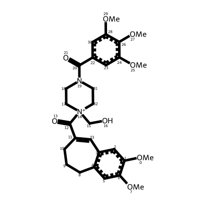 COc1cc2c(cc1OC)CCCC(C(=O)[N+]1(CO)CCN(C(=O)c3cc(OC)c(OC)c(OC)c3)CC1)=C2